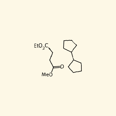 C1CCC(C2CCCC2)C1.CCOC(=O)CCC(=O)OC